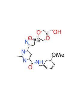 COc1cccc(CNC(=O)c2cc(C3=NO[C@@H]([C@@H]4CO[C@@H](CO)CO4)C3)nc(C)n2)c1